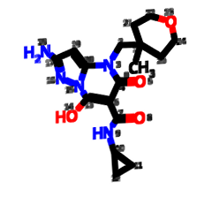 CC1(Cn2c(=O)c(C(=O)NC3CC3)c(O)n3nc(N)cc23)CCOCC1